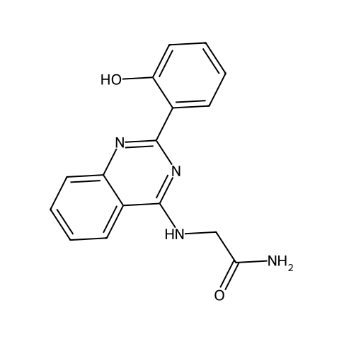 NC(=O)CNc1nc(-c2ccccc2O)nc2ccccc12